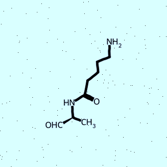 C[C@@H](C=O)NC(=O)CCCCN